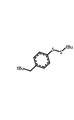 CC(C)(C)Cc1ccc(SSC(C)(C)C)cc1